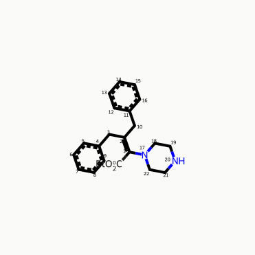 CCOC(=O)C(=C(Cc1ccccc1)Cc1ccccc1)N1CCNCC1